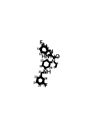 CCN(C(=O)c1nc2cc(F)ccc2[nH]1)C1CCCC(NCc2cccc(F)c2)C1